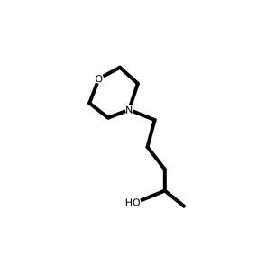 CC(O)CCCN1CCOCC1